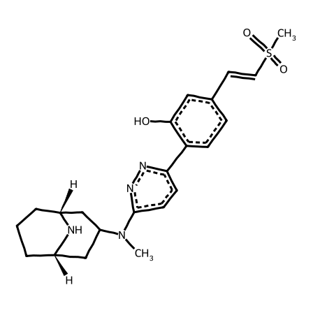 CN(c1ccc(-c2ccc(/C=C/S(C)(=O)=O)cc2O)nn1)C1C[C@H]2CCC[C@@H](C1)N2